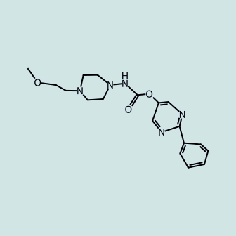 COCCN1CCN(NC(=O)Oc2cnc(-c3ccccc3)nc2)CC1